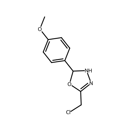 COc1ccc(C2NN=C(CCl)O2)cc1